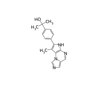 Cc1c(-c2ccc(C(C)(C)O)cc2)[nH]c2ncc3cncn3c12